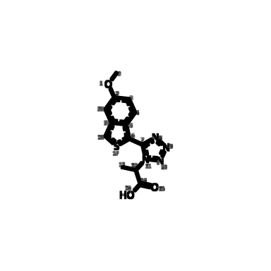 COc1ccc2c(-c3nnnn3C(C)C(=O)O)scc2c1